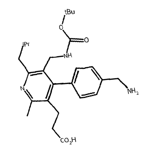 Cc1nc(CC(C)C)c(CNC(=O)OC(C)(C)C)c(-c2ccc(CN)cc2)c1CCC(=O)O